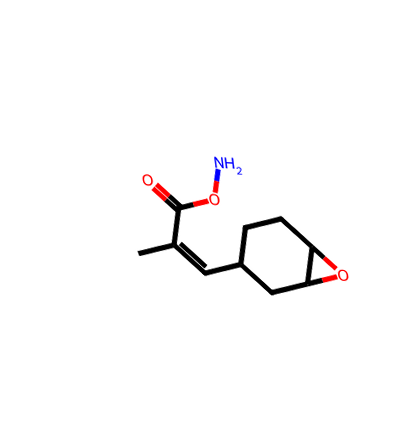 CC(=CC1CCC2OC2C1)C(=O)ON